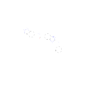 CCc1ccccc1Nc1nc2ccc(C(=O)Nc3ccc4c(Cl)n[nH]c4c3)cc2[nH]1